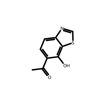 CC(=O)c1ccc2ncsc2c1O